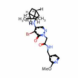 COc1cc(CNC(=O)Cn2ncc(N[C@@H]3C[C@H]4C[C@H]([C@@H]3C)C4(C)C)c(Br)c2=O)ccn1